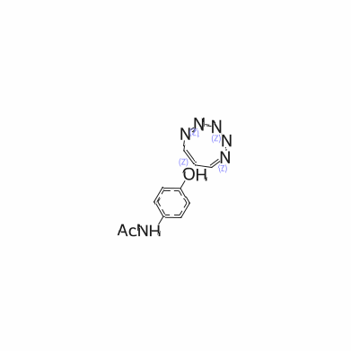 C1=C\N=N/N=N\N=C/1.CC(=O)Nc1ccc(O)cc1